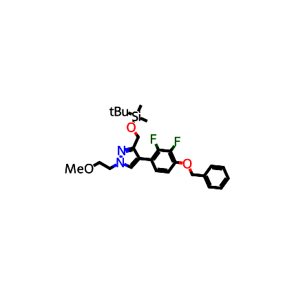 COCCn1cc(-c2ccc(OCc3ccccc3)c(F)c2F)c(CO[Si](C)(C)C(C)(C)C)n1